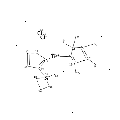 CC1=C(C)C(C)(C)[C]([Ti+2][C]2=C([Si]3(C)CCC3)C=CC2)=C1C.[Cl-].[Cl-]